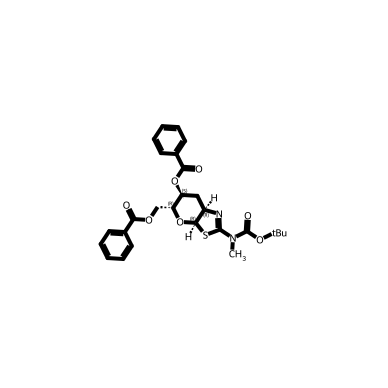 CN(C(=O)OC(C)(C)C)C1=N[C@@H]2C[C@H](OC(=O)c3ccccc3)[C@@H](COC(=O)c3ccccc3)O[C@@H]2S1